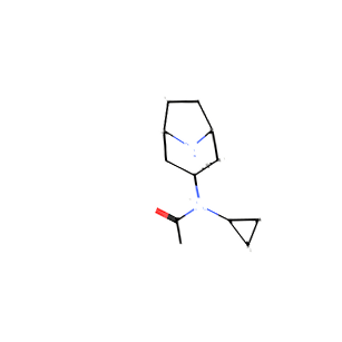 CC(C)N1C2CCC1CC(N(C(=O)C(C)(C)C)C1CC1)C2